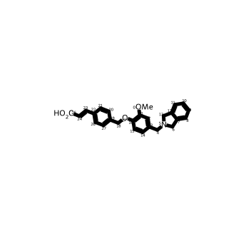 COc1cc(CN2Cc3ccccc3C2)ccc1OCc1ccc(/C=C/C(=O)O)cc1